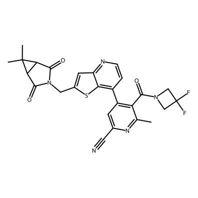 Cc1nc(C#N)cc(-c2ccnc3cc(CN4C(=O)C5C(C4=O)C5(C)C)sc23)c1C(=O)N1CC(F)(F)C1